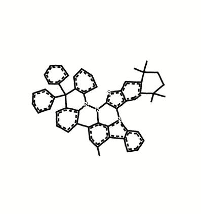 Cc1cc2c3c4c1c1ccccc1n4-c1c(sc4cc5c(cc14)C(C)(C)CCC5(C)C)B3N1c3ccccc3C(c3ccccc3)(c3ccccc3)c3cccc-2c31